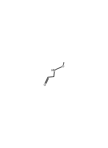 CONCC=O